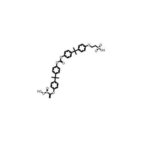 C=C(Oc1ccc(C(C)(C)c2ccc(OC(=O)Oc3ccc(C(C)(C)c4ccc(OCCS(=O)(=O)O)cc4)cc3)cc2)cc1)S(=O)OO